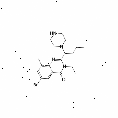 CCCC(c1nc2c(C)cc(Br)cc2c(=O)n1CC)N1CCNCC1